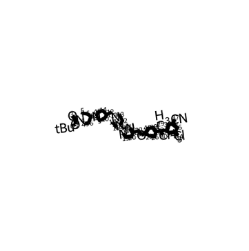 CC(C)(C)OC(=O)N1CCC(N2CCC(CN3CCN(c4nccc(COc5ccc(C(C)(C)c6cc(Cl)cc(C#N)c6)cc5)n4)CC3)CC2)CC1